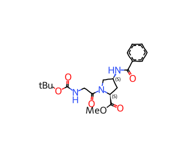 COC(=O)[C@@H]1C[C@H](NC(=O)c2ccccc2)CN1C(=O)CNC(=O)OC(C)(C)C